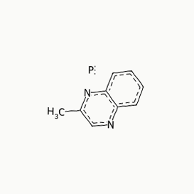 Cc1cnc2ccccc2n1.[P]